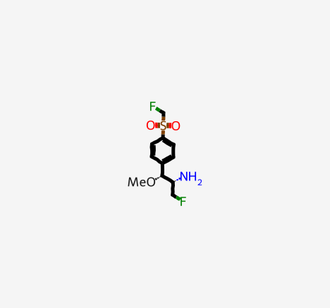 CO[C@H](c1ccc(S(=O)(=O)CF)cc1)[C@H](N)CF